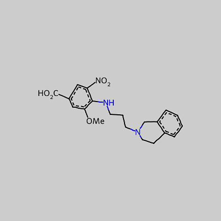 COc1cc(C(=O)O)cc([N+](=O)[O-])c1NCCCN1CCc2ccccc2C1